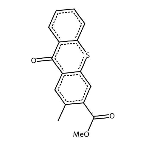 COC(=O)c1cc2sc3ccccc3c(=O)c2cc1C